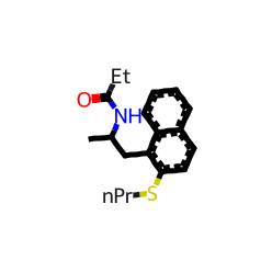 CCCSc1ccc2ccccc2c1CC(C)NC(=O)CC